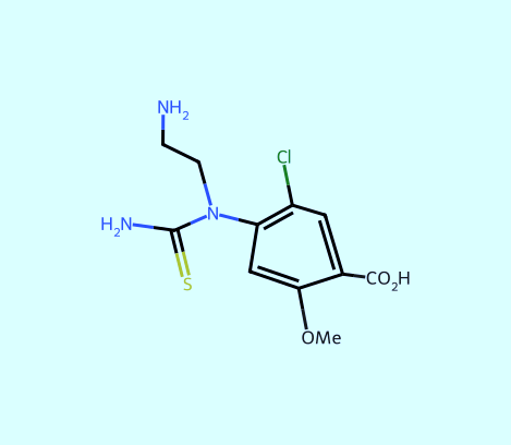 COc1cc(N(CCN)C(N)=S)c(Cl)cc1C(=O)O